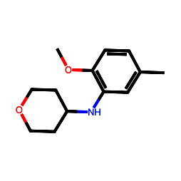 COc1ccc(C)cc1NC1CCOCC1